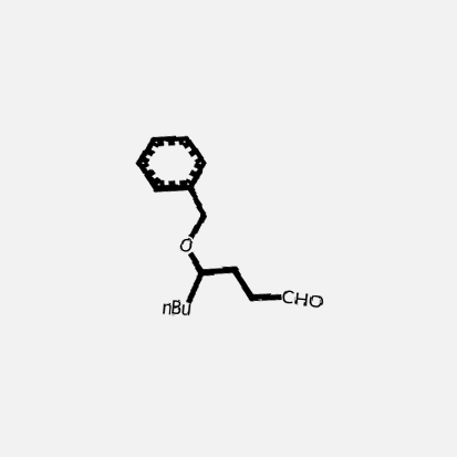 CCCCC(CCC=O)OCc1ccccc1